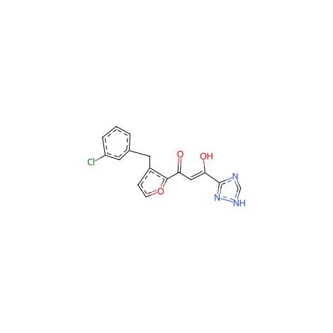 O=C(C=C(O)c1nc[nH]n1)c1occc1Cc1cccc(Cl)c1